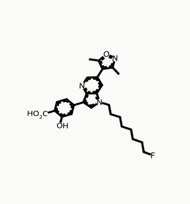 Cc1noc(C)c1-c1cnc2c(-c3ccc(C(=O)O)c(O)c3)cn(CCCCCCCCF)c2c1